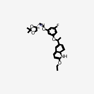 CCOC1=CC=C2C=C(C(C)Oc3cc(F)cc(O/N=C\[C@@H]4COC(C)(C)O4)c3)C=CC2N1